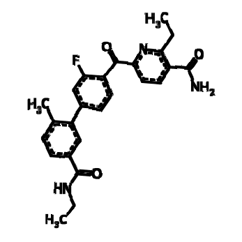 CCNC(=O)c1ccc(C)c(-c2ccc(C(=O)c3ccc(C(N)=O)c(CC)n3)c(F)c2)c1